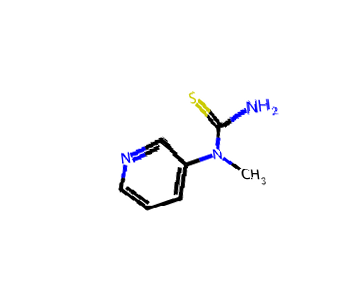 CN(C(N)=S)c1cccnc1